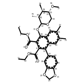 CCOC(=O)c1c(C(=O)OCC)c(-c2ccc3c(c2)OCO3)c2cc(C)c(C)cc2c1OC1OC[C@@H](OC)[C@H](C)[C@H]1C